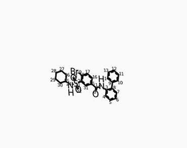 O=C(Nc1ccccc1-c1ccccc1)c1ccc(Br)c(S(=O)(=O)NC2CCCCC2)c1